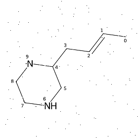 C/C=C/CC1CNCC[N]1